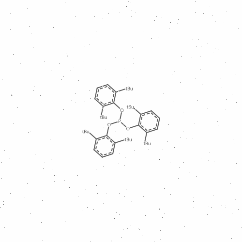 CC(C)(C)c1cccc(C(C)(C)C)c1OP(Oc1c(C(C)(C)C)cccc1C(C)(C)C)Oc1c(C(C)(C)C)cccc1C(C)(C)C